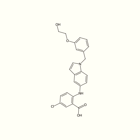 O=C(O)c1cc(Cl)ccc1Nc1ccc2c(ccn2Cc2cccc(OCCO)c2)c1